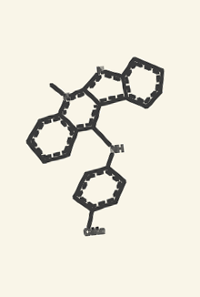 COc1ccc(Nc2c3c4ccccc4nc-3n(C)c3ccccc23)cc1